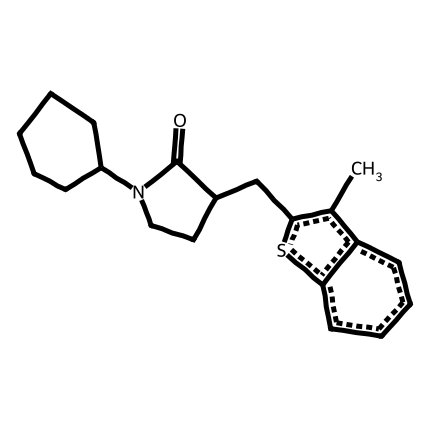 Cc1c(CC2CCN(C3CCCCC3)C2=O)sc2ccccc12